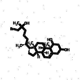 C[C@H](CCCC(C)(O)CBr)[C@H]1CC[C@H]2[C@@H]3CC=C4CC(O)CC(O)[C@]4(C)[C@H]3CC[C@]12C